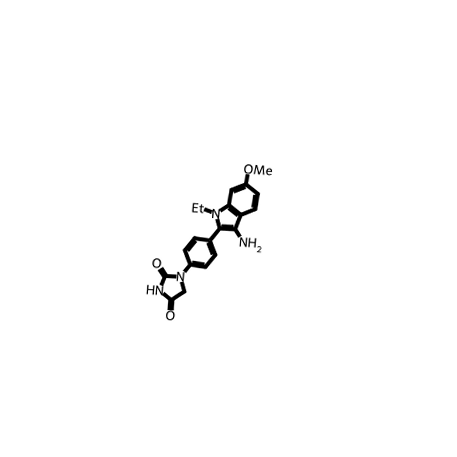 CCn1c(-c2ccc(N3CC(=O)NC3=O)cc2)c(N)c2ccc(OC)cc21